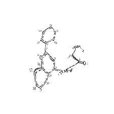 NCC(=O)O.O=c1cc(-c2ccccc2)oc2ccccc12